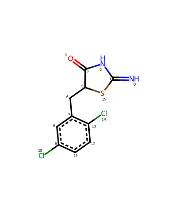 N=C1NC(=O)C(Cc2cc(Cl)ccc2Cl)S1